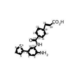 Nc1ccc(-c2cccs2)cc1NC(=O)c1ccc(C=CC(=O)O)cc1